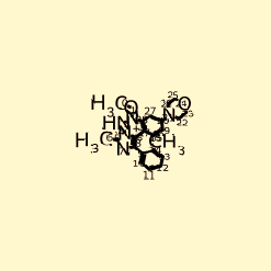 CON1N[N+]2C(C)=NC(c3ccccc3C)=C2c2ccc(N3CCOCC3)cc21